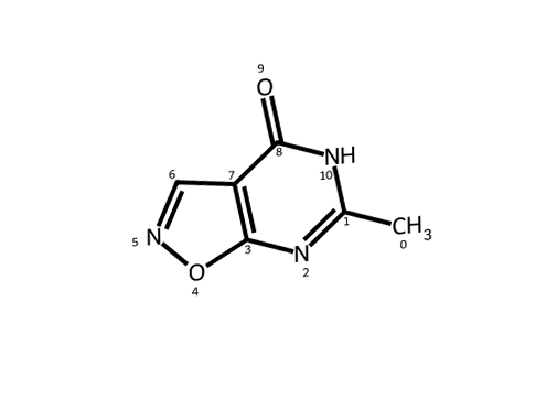 Cc1nc2oncc2c(=O)[nH]1